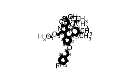 CCOCc1nc(C)c([C@H](OC(C)(C)C)C(=O)O)c(N2CCC(C)(C)CC2)c1-c1ccc(OCCc2ccc(F)cc2)cc1